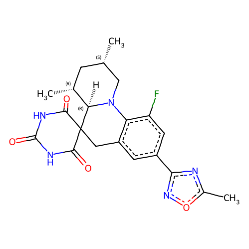 Cc1nc(-c2cc(F)c3c(c2)CC2(C(=O)NC(=O)NC2=O)[C@H]2[C@H](C)C[C@H](C)CN32)no1